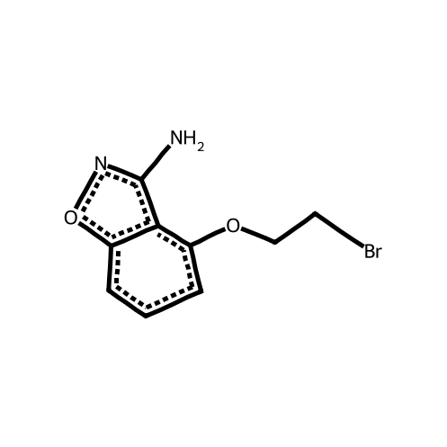 Nc1noc2cccc(OCCBr)c12